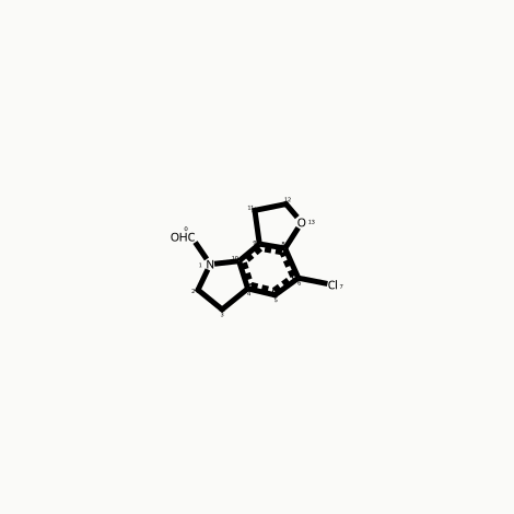 O=CN1CCc2cc(Cl)c3c(c21)CCO3